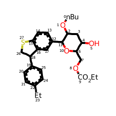 CCCCOC1CC(O)C(COC(=O)OCC)OC1c1ccc2c(c1)C(c1ccc(CC)cc1)CS2